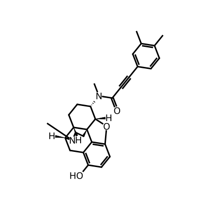 Cc1ccc(C#CC(=O)N(C)[C@H]2CC[C@H]3[C@H]4Cc5c(O)ccc6c5[C@@]3(CCN4C)[C@H]2O6)cc1C